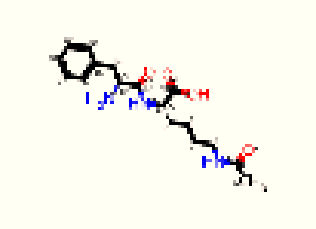 CC(=O)NCCCC[C@H](NC(=O)[C@@H](N)Cc1ccccc1)C(=O)O